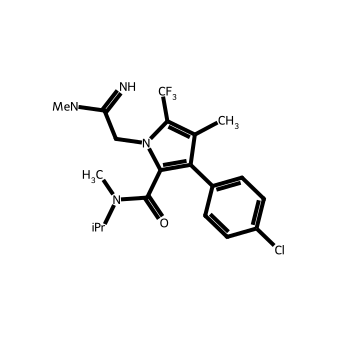 CNC(=N)Cn1c(C(=O)N(C)C(C)C)c(-c2ccc(Cl)cc2)c(C)c1C(F)(F)F